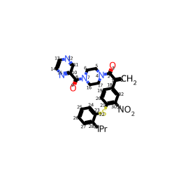 C=C(C(=O)N1CCN(C(=O)c2cnccn2)CC1)c1ccc(Sc2ccccc2C(C)C)c([N+](=O)[O-])c1